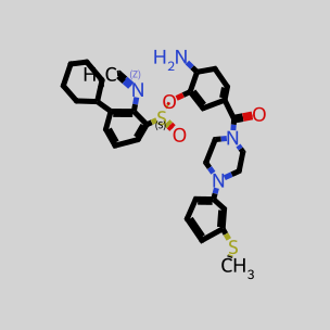 C/C=N\c1c(C2CCCCC2)cccc1[S@@](=O)OC1=CC(C(=O)N2CCN(c3cccc(SC)c3)CC2)=CCC1N